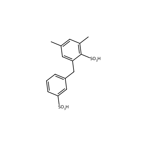 Cc1cc(C)c(S(=O)(=O)O)c(Cc2cccc(S(=O)(=O)O)c2)c1